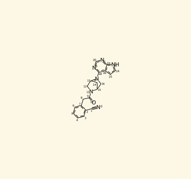 N#Cc1ccccc1CC(=O)N1CC2CC1CN2c1ncnc2[nH]ccc12